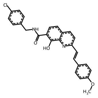 COc1ccc(C=Cc2ccc3ccc(C(=O)NCc4ccc(Cl)cc4)c(O)c3n2)cc1